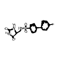 O=C1NC(=O)C(CNS(=O)(=O)c2ccc(-c3ccc(F)cc3)cc2)N1